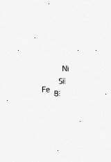 [B].[Fe].[Ni].[Si]